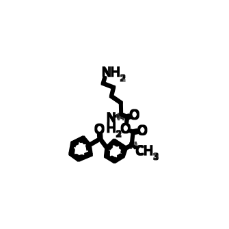 C[C@H](C(=O)OC(=O)[C@H](N)CCCCN)c1cccc(C(=O)c2ccccc2)c1